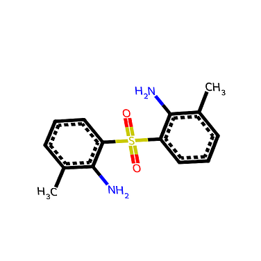 Cc1cccc(S(=O)(=O)c2cccc(C)c2N)c1N